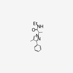 CCNC(=O)C(C)n1cc(C)c(-c2ccccc2)n1